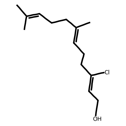 CC(C)=CCCC(C)=CCCC(Cl)=CCO